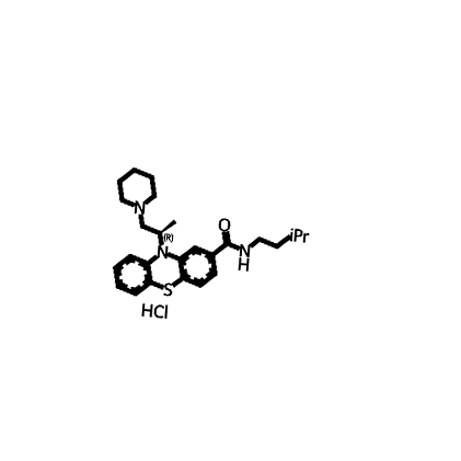 CC(C)CCNC(=O)c1ccc2c(c1)N([C@H](C)CN1CCCCC1)c1ccccc1S2.Cl